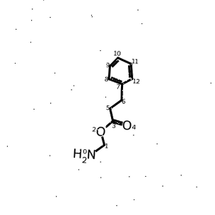 NCOC(=O)CCc1ccccc1